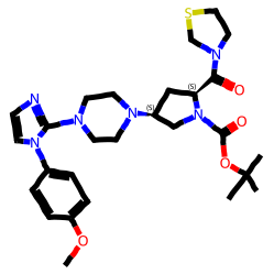 COc1ccc(-n2ccnc2N2CCN([C@H]3C[C@@H](C(=O)N4CCSC4)N(C(=O)OC(C)(C)C)C3)CC2)cc1